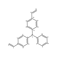 C=Cc1ccc(P(c2ccccc2)c2ccc(C=C)cc2)cc1